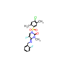 Cc1cc(S(=O)(=O)n2cc(F)/c(=N\Cc3ccccc3F)n(C)c2=O)c(C)cc1Cl